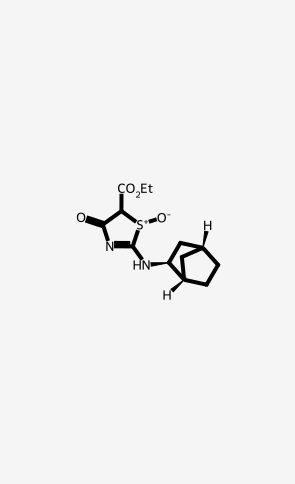 CCOC(=O)C1C(=O)N=C(N[C@H]2C[C@@H]3CC[C@H]2C3)[S+]1[O-]